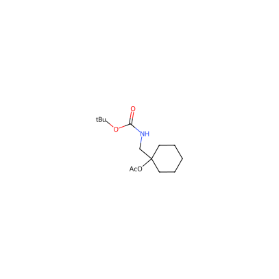 CC(=O)OC1(CNC(=O)OC(C)(C)C)CCCCC1